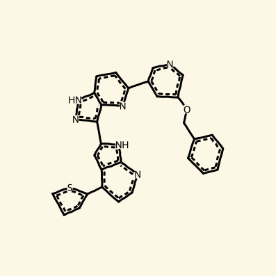 c1ccc(COc2cncc(-c3ccc4[nH]nc(-c5cc6c(-c7cccs7)ccnc6[nH]5)c4n3)c2)cc1